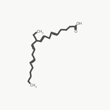 CCCCCC=CCC=CC(C=CCC=CCCCC(=O)O)CC